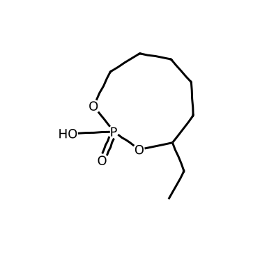 CCC1CCCCCOP(=O)(O)O1